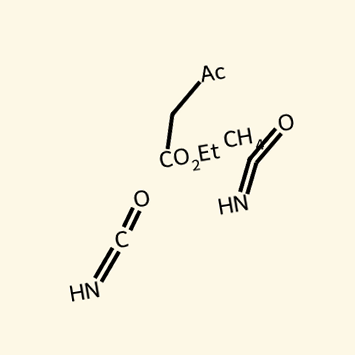 C.CCOC(=O)CC(C)=O.N=C=O.N=C=O